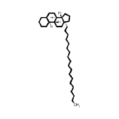 CCCCCCCCCCCCCCCCCCC[C@@]12CCC[C@H]1[C@@H]1CCC3CCCC[C@@H]3[C@H]1CC2